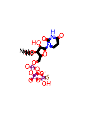 O=C1CCN(C2OC(COP(=O)([O-])OP(=O)([O-])OP([O-])(O)=S)C(O)C2O)C(=O)N1.[Na+].[Na+].[Na+]